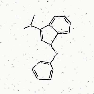 CN(C)c1cn(Sc2ccccc2)c2ccccc12